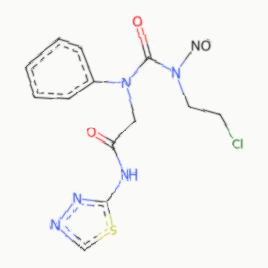 O=NN(CCCl)C(=O)N(CC(=O)Nc1nncs1)c1ccccc1